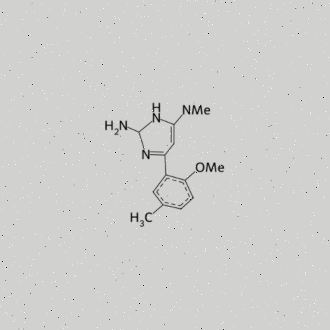 CNC1=CC(c2cc(C)ccc2OC)=NC(N)N1